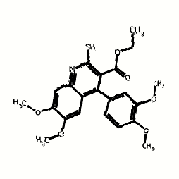 CCOC(=O)c1c(S)nc2cc(OC)c(OC)cc2c1-c1ccc(OC)c(OC)c1